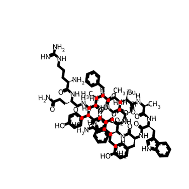 CC[C@H](C)[C@H](NC(=O)[C@H](Cc1c[nH]c2ccccc12)NC(=O)[C@H](Cc1ccccc1)NC(=O)[C@H](Cc1ccc(O)cc1)NC(=O)[C@H](CCC(N)=O)NC(=O)[C@@H](N)CCCNC(=N)N)C(=O)N[C@@H](C)C(=O)N[C@@H](Cc1c[nH]c2ccccc12)C(=O)N[C@@H](Cc1ccc(O)cc1)C(=O)N[C@@H](CCCCN)C(=O)N[C@@H](CC(C)C)C(=O)N[C@@H](C)C(=O)N[C@@H](C)C(=O)N[C@@H](CO)C(=O)N[C@@H](CCCCN)C(=O)O